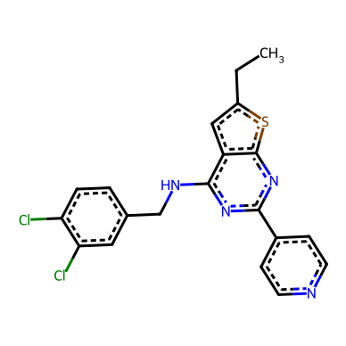 CCc1cc2c(NCc3ccc(Cl)c(Cl)c3)nc(-c3ccncc3)nc2s1